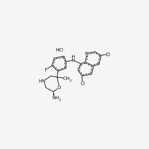 CC1(c2cc(Nc3cc(Cl)cc4cc(Cl)cnc34)ccc2F)CNC[C@H](N)O1.Cl